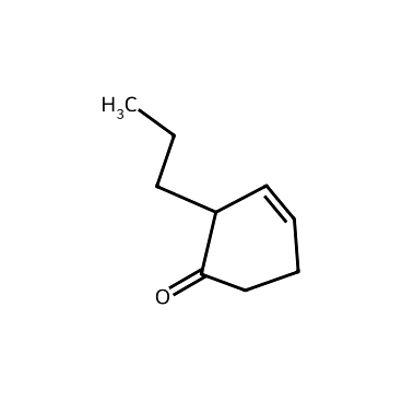 CCCC1C=CCCC1=O